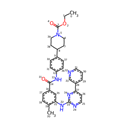 CCOC(=O)N1CCC(c2ccc(NC(=O)c3ccc(C)c(Nc4nccc(-c5cccnc5)n4)c3)cc2)CC1